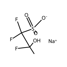 CC(O)(F)C(F)(F)S(=O)(=O)[O-].[Na+]